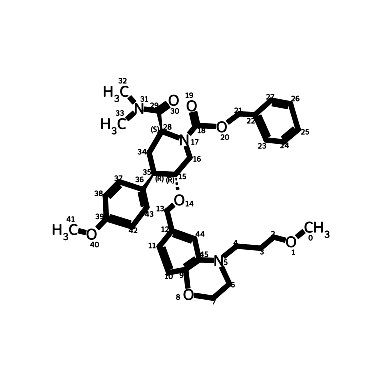 COCCCN1CCOc2ccc(CO[C@H]3CN(C(=O)OCc4ccccc4)[C@H](C(=O)N(C)C)C[C@@H]3c3ccc(OC)cc3)cc21